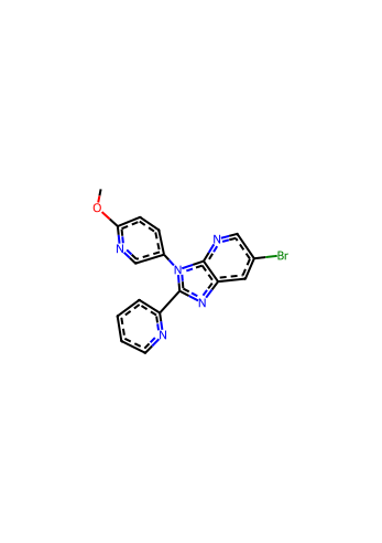 COc1ccc(-n2c(-c3ccccn3)nc3cc(Br)cnc32)cn1